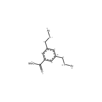 COC(=O)c1cc(CSC(C)=O)cc(CSC(C)=O)c1